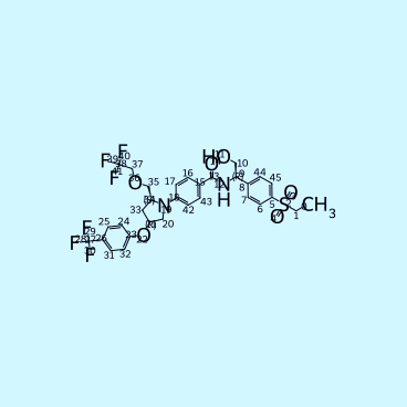 CCS(=O)(=O)c1ccc([C@H](CO)NC(=O)c2ccc(N3C[C@H](Oc4ccc(C(F)(F)F)cc4)C[C@H]3COCC(F)(F)F)cc2)cc1